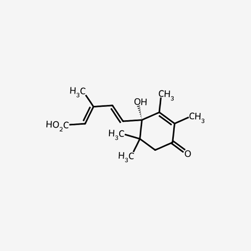 CC(=CC(=O)O)/C=C/[C@@]1(O)C(C)=C(C)C(=O)CC1(C)C